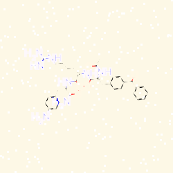 CC(=O)N[C@@H](Cc1ccc(C(=O)c2ccccc2)cc1)C(=O)N[C@@H](CCCCNC(=N)N)C(=O)N[C@@H](Cc1ccc(N)cc1)C(N)=O